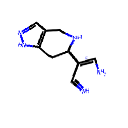 N=C/C(=C\N)C1Cc2[nH]ncc2CN1